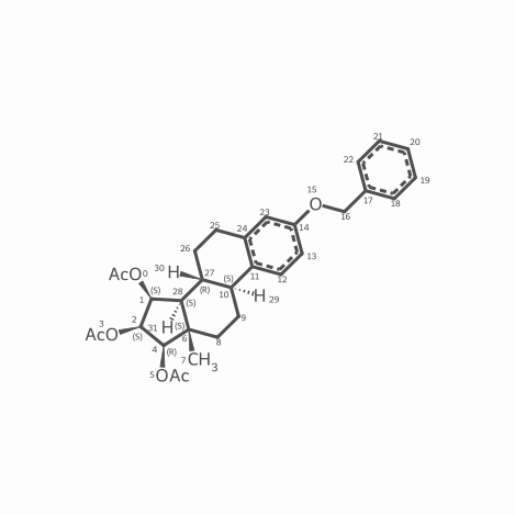 CC(=O)O[C@@H]1[C@H](OC(C)=O)[C@H](OC(C)=O)[C@@]2(C)CC[C@@H]3c4ccc(OCc5ccccc5)cc4CC[C@H]3[C@H]12